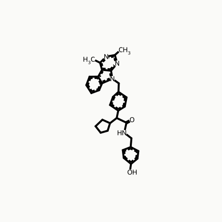 Cc1nc(C)c2c3ccccc3n(Cc3ccc(C(C(=O)NCc4ccc(O)cc4)C4CCCC4)cc3)c2n1